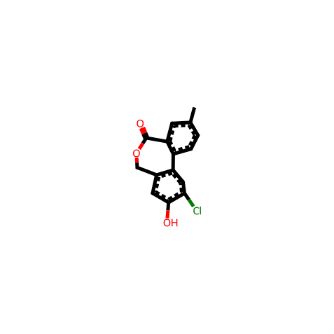 Cc1ccc2c(c1)C(=O)OCc1cc(O)c(Cl)cc1-2